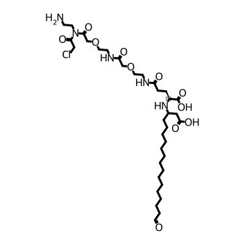 NCCN(C(=O)CCl)C(=O)COCCNC(=O)COCCNC(=O)CC[C@H](NC(CCCCCCCCCCCCCCC=O)CC(=O)O)C(=O)O